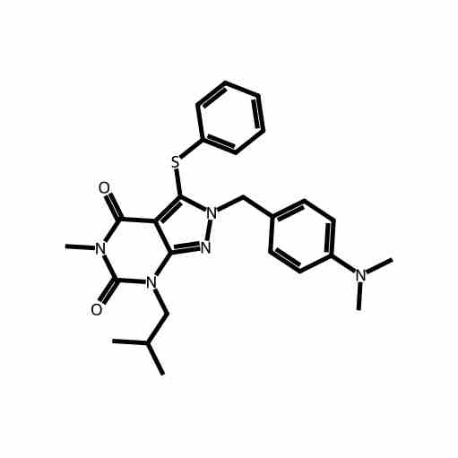 CC(C)Cn1c(=O)n(C)c(=O)c2c(Sc3ccccc3)n(Cc3ccc(N(C)C)cc3)nc21